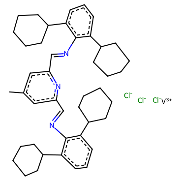 Cc1cc(C=Nc2c(C3CCCCC3)cccc2C2CCCCC2)nc(C=Nc2c(C3CCCCC3)cccc2C2CCCCC2)c1.[Cl-].[Cl-].[Cl-].[V+3]